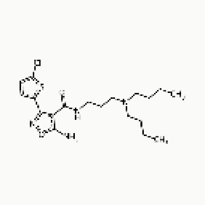 CCCCN(CCCC)CCCNC(=O)c1c(-c2ccc(Cl)s2)noc1N